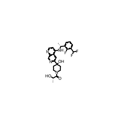 C[C@H](O)C(=O)N1CCC(O)(c2cc3c(N[C@H](C)c4cccc(C(F)F)c4F)ccnc3cn2)CC1